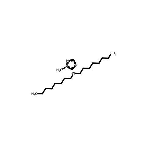 CCCCCCCCNCCCCCCCC.Cn1cncn1